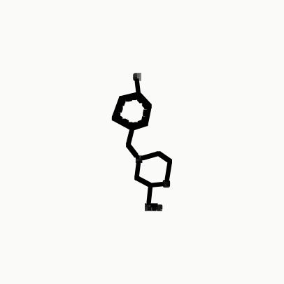 CNC1CN(Cc2ccc(Cl)cc2)CCO1